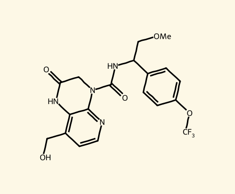 COCC(NC(=O)N1CC(=O)Nc2c(CO)ccnc21)c1ccc(OC(F)(F)F)cc1